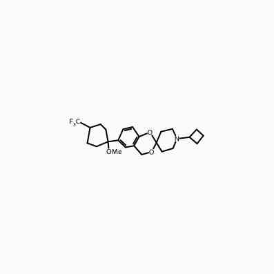 COC1(c2ccc3c(c2)COC2(CCN(C4CCC4)CC2)O3)CCC(C(F)(F)F)CC1